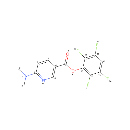 CN(C)c1ccc(C(=O)Oc2c(F)c(F)cc(F)c2F)cn1